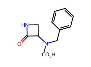 O=C1NCC1N(Cc1ccccc1)C(=O)O